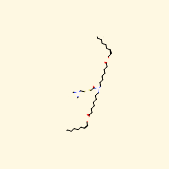 CCCCCC/C=C\COC(=O)CCCCCCCN(CCCCCCCC(=O)OC/C=C\CCCCCC)C(=O)CSCCN(CC)CC